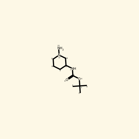 CC(C)(C)OC(=O)NC1CCCN(N)C1